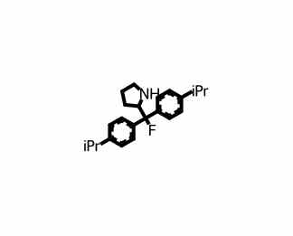 CC(C)c1ccc(C(F)(c2ccc(C(C)C)cc2)C2CCCN2)cc1